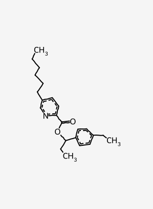 CCCCCCc1ccc(C(=O)OC(CC)c2ccc(CC)cc2)nc1